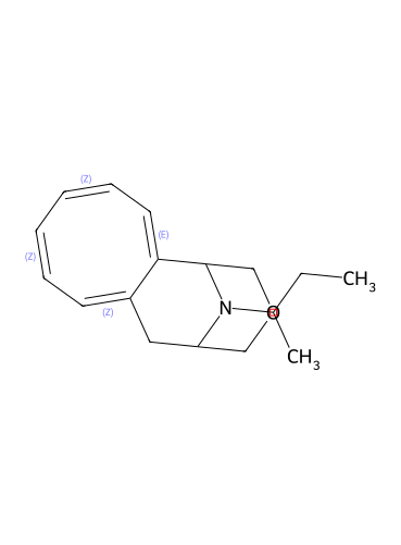 CCC(C)N1C2COCC1C1=C/C=C\C=C/C=C\1C2